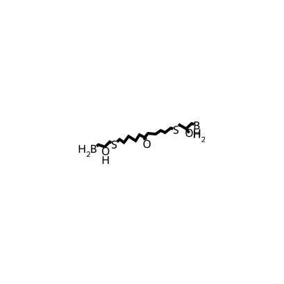 BCC(O)CSCCCCCC(=O)CCCCCSCC(O)CB